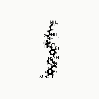 CCc1cc(Nc2nccn3c(-c4ccc(OC)c(F)c4F)cnc23)ccc1C(=O)NC(C)(C)CNC(=O)[C@@H](N)CCCCN